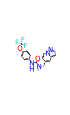 CN(Cc1ccn2nccc2c1)C(=O)Nc1ccc(OC(F)(F)F)cc1